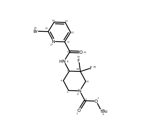 CC(C)(C)OC(=O)N1CCC(NC(=O)c2cccc(Br)n2)C(F)(F)C1